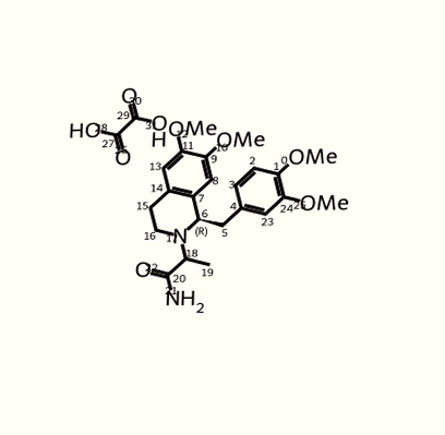 COc1ccc(C[C@@H]2c3cc(OC)c(OC)cc3CCN2C(C)C(N)=O)cc1OC.O=C(O)C(=O)O